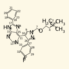 C[Si](C)(C)CCOCn1cc(-c2ncnc3[nH]c(-c4ccccc4)nc23)c(-c2ccc(F)cc2)n1